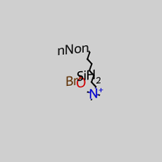 CCCCCCCCCCCCCCCC[N+](C)(C)C.O=[SiH2].[Br-]